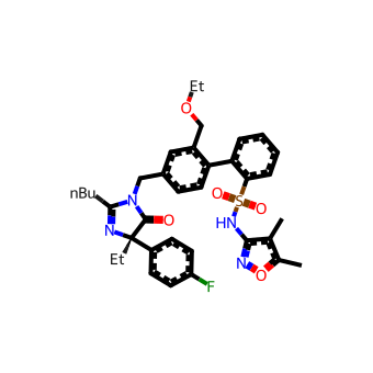 CCCCC1=N[C@@](CC)(c2ccc(F)cc2)C(=O)N1Cc1ccc(-c2ccccc2S(=O)(=O)Nc2noc(C)c2C)c(COCC)c1